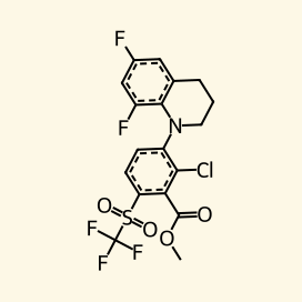 COC(=O)c1c(S(=O)(=O)C(F)(F)F)ccc(N2CCCc3cc(F)cc(F)c32)c1Cl